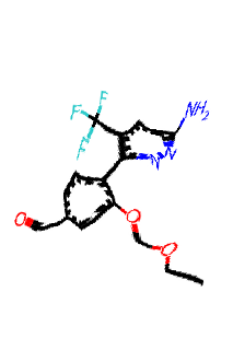 CCOCOc1cc(C=O)ccc1-c1nnc(N)cc1C(F)(F)F